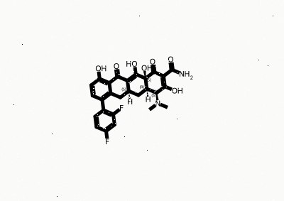 CN(C)[C@@H]1C(O)=C(C(N)=O)C(=O)[C@@]2(O)C(O)=C3C(=O)c4c(O)ccc(-c5ccc(F)cc5F)c4C[C@@H]3C[C@H]12